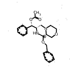 CC(=O)O[C@@H](c1ccccc1)[C@H](CN1CCOCC1)NC(=O)OCc1ccccc1